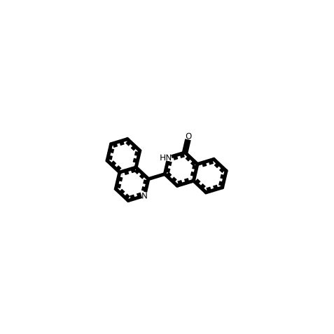 O=c1[nH]c(-c2nccc3ccccc23)cc2ccccc12